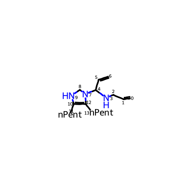 C=CCNC(C=C)N1CNC(CCCCC)=C1CCCCC